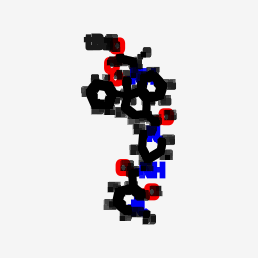 C[C@H](NC(=O)[C@@]1(c2ccccc2)CC[C@H](C(=O)N2CCC(NC(=O)c3cccn(C)c3=O)CC2)c2ccccc21)C(=O)OC(C)(C)C